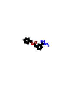 N=C(N)c1cccc(CC(=O)OCc2ccccc2)c1